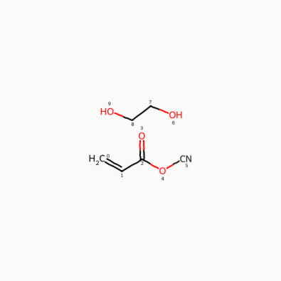 C=CC(=O)OC#N.OCCO